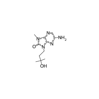 Cn1c(=O)n(CCC(C)(C)O)c2nc(N)cnc21